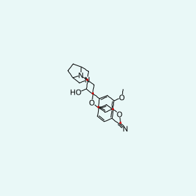 COc1ccc(CCN2CC3CCC(C2)N3CC(O)COc2ccc(C#N)cc2)cc1OC